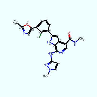 CNC(=O)c1cnc(Nc2ccn(C)n2)c2[nH]c(-c3cccc(-c4cnc(C)o4)c3F)cc12